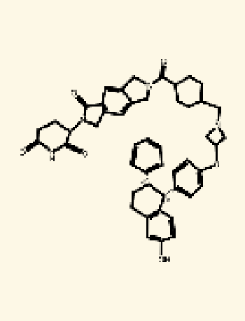 O=C1CCC(N2Cc3cc4c(cc3C2=O)CN(C(=O)C2CCC(CN3CC(Oc5ccc([C@@H]6c7ccc(O)cc7CC[C@@H]6c6ccccc6)cc5)C3)CC2)C4)C(=O)N1